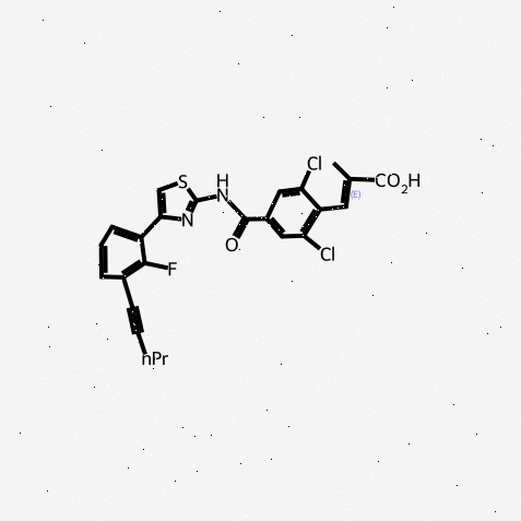 CCCC#Cc1cccc(-c2csc(NC(=O)c3cc(Cl)c(/C=C(\C)C(=O)O)c(Cl)c3)n2)c1F